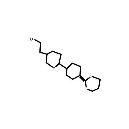 CCCC1CCC(C2CCC(=C3SCCCS3)CC2)OC1